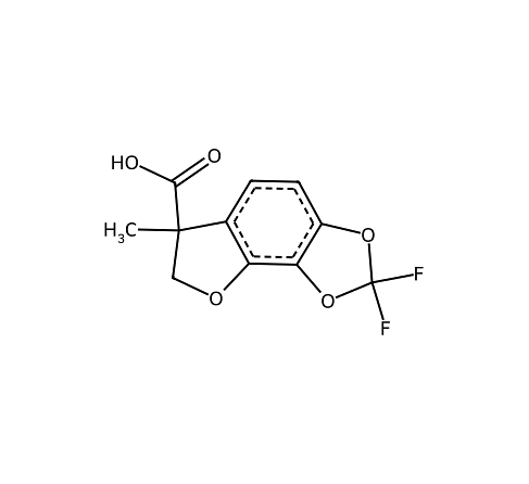 CC1(C(=O)O)COc2c1ccc1c2OC(F)(F)O1